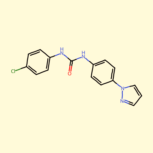 O=C(Nc1ccc(Cl)cc1)Nc1ccc(-n2cccn2)cc1